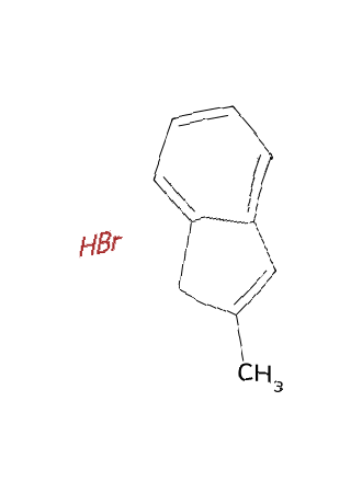 Br.CC1=Cc2ccccc2C1